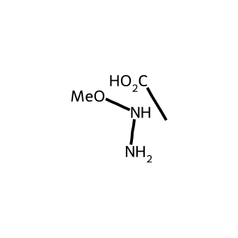 CC(=O)O.CONN